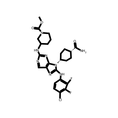 COC(=O)N1CCCC(Nc2ncc3nc(Nc4ccc(Cl)c(F)c4F)n([C@H]4CC[C@@H](C(N)=O)CC4)c3n2)C1